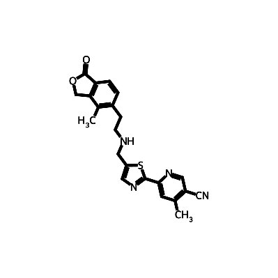 Cc1cc(-c2ncc(CNCCc3ccc4c(c3C)COC4=O)s2)ncc1C#N